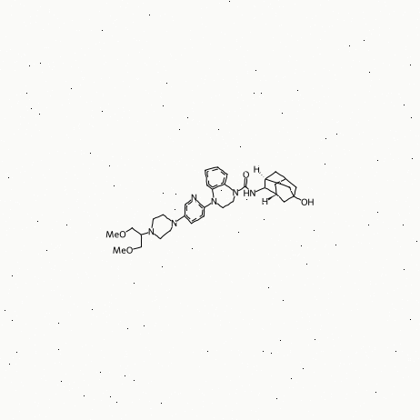 COCC(COC)N1CCN(c2ccc(N3CCN(C(=O)NC4[C@@H]5CC6C[C@H]4CC(O)(C6)C5)c4ccccc43)nc2)CC1